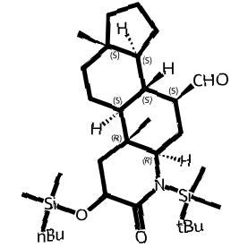 CCCC[Si](C)(C)OC1C[C@]2(C)[C@H]3CC[C@]4(C)CCC[C@H]4[C@@H]3[C@@H](C=O)C[C@H]2N([Si](C)(C)C(C)(C)C)C1=O